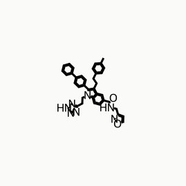 Cc1ccc(CCc2c(-c3ccc(-c4ccccc4)cc3)n(CCc3nn[nH]n3)c3ccc(C(=O)NCc4ccon4)cc23)cc1